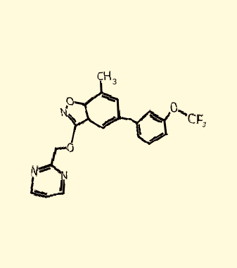 CC1=CC(c2cccc(OC(F)(F)F)c2)=CC2C(OCc3ncccn3)=NOC12